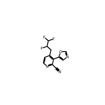 N#Cc1nccc(CC(F)C(F)F)c1-c1cnco1